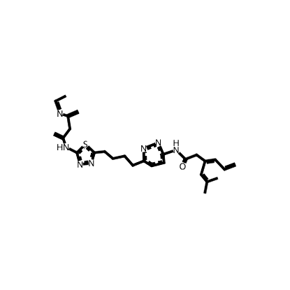 C=C/C=C(\C=C(C)C)CC(=O)Nc1ccc(CCCCc2nnc(NC(=C)CC(=C)/N=C\C)s2)nn1